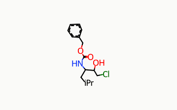 CC(C)CC(NC(=O)OCc1ccccc1)C(O)CCl